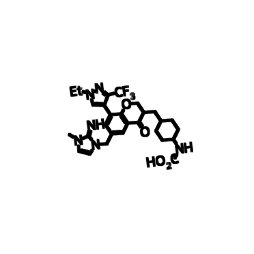 CCn1cc(-c2cc(Cn3ccn(C)c3=N)cc3c2OCC(CC2CCC(NC(=O)O)CC2)C3=O)c(C(F)(F)F)n1